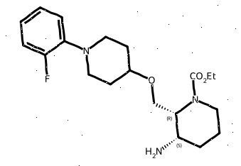 CCOC(=O)N1CCC[C@H](N)[C@@H]1COC1CCN(c2ccccc2F)CC1